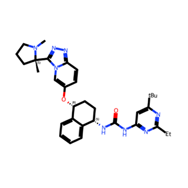 CCc1nc(NC(=O)N[C@H]2CC[C@@H](Oc3ccc4nnc([C@]5(C)CCCN5C)n4c3)c3ccccc32)cc(C(C)(C)C)n1